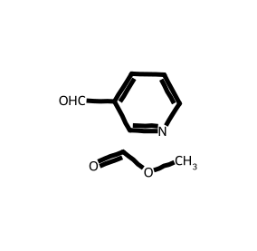 COC=O.O=Cc1cccnc1